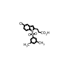 Cc1cc(C)cc(S(=O)(=O)n2c(CCC(=O)O)cc3cc(Cl)ccc32)c1